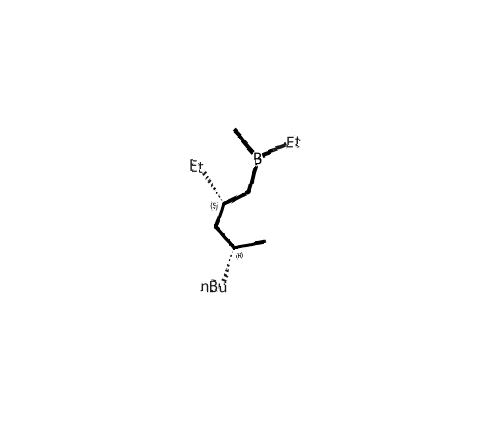 CCCC[C@@H](C)C[C@H](CC)CB(C)CC